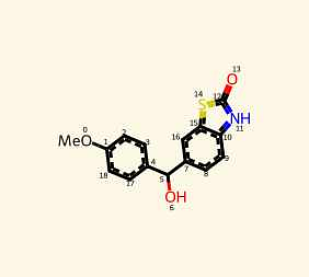 COc1ccc(C(O)c2ccc3[nH]c(=O)sc3c2)cc1